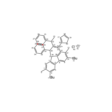 Cc1cc2c(cc1C(C)(C)C)-c1cc(C(C)(C)C)c(C)[c]([Zr+2]([C]3=CC=CC3)=[C](C(C)c3ccccc3)C(C)c3ccccc3)c1C2.[Cl-].[Cl-]